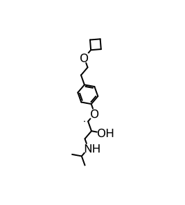 CC(C)NCC(O)[CH]Oc1ccc(CCOC2CCC2)cc1